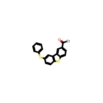 CCC(=O)c1ccc2sc3ccc(Sc4ccccc4)cc3c2c1